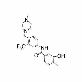 Cc1ccc(C(=O)Nc2ccc(CN3CCN(C)CC3)c(C(F)(F)F)c2)cc1O